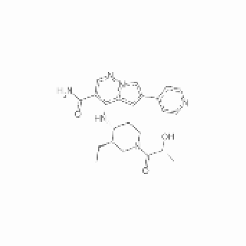 CC[C@@H]1CN(C(=O)[C@@H](C)O)CC[C@H]1Nc1c(C(N)=O)cnn2cc(-c3ccncc3)cc12